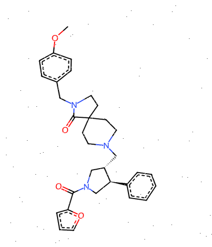 COc1ccc(CN2CCC3(CCN(C[C@H]4CN(C(=O)c5ccco5)C[C@@H]4c4ccccc4)CC3)C2=O)cc1